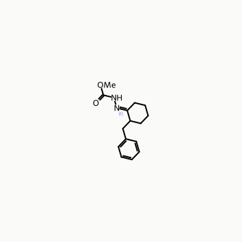 COC(=O)N/N=C1\CCCCC1Cc1ccccc1